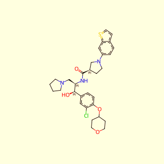 O=C(N[C@H](CN1CCCC1)[C@H](O)c1ccc(OC2CCOCC2)c(Cl)c1)[C@@H]1CCN(c2ccc3ccsc3c2)C1